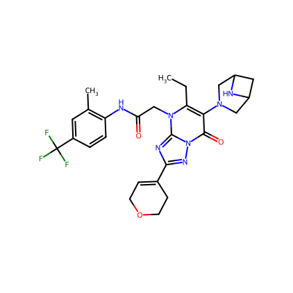 CCc1c(N2CC3CC(C2)N3)c(=O)n2nc(C3=CCOCC3)nc2n1CC(=O)Nc1ccc(C(F)(F)F)cc1C